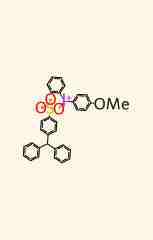 COc1ccc([I+](OS(=O)(=O)c2ccc(C(c3ccccc3)c3ccccc3)cc2)c2ccccc2)cc1